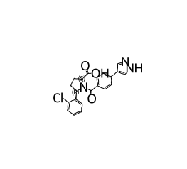 O=C(O)[C@@H]1CC[C@H](c2ccccc2Cl)N1C(=O)c1ccc(-c2cn[nH]c2)cc1